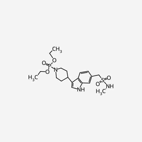 CCOP(=O)(OCC)N1CCC(c2c[nH]c3cc(CS(=O)(=O)NC)ccc23)CC1